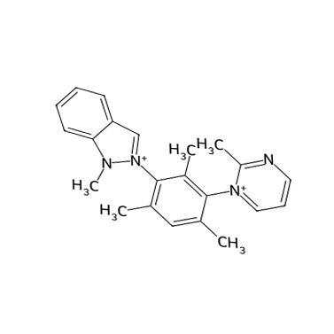 Cc1cc(C)c(-[n+]2cc3ccccc3n2C)c(C)c1-[n+]1cccnc1C